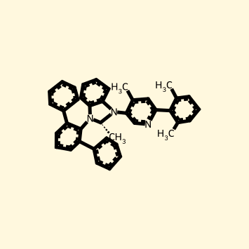 Cc1cc(-c2c(C)cccc2C)ncc1N1c2ccccc2N(c2c(-c3ccccc3)cccc2-c2ccccc2)[C@H]1C